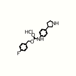 Cl.O=C(Nc1ccc(C2CCNC2)cc1)OCc1ccc(F)cc1